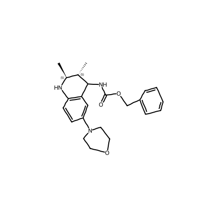 C[C@@H]1Nc2ccc(N3CCOCC3)cc2C(NC(=O)OCc2ccccc2)[C@H]1C